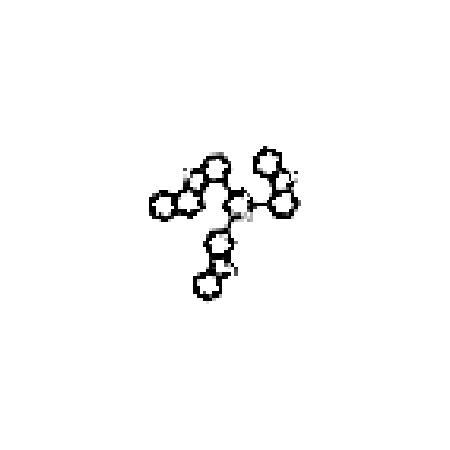 c1ccc2c(c1)ccc1c2oc2cccc(-c3cc(-c4ccc5c(c4)oc4ccccc45)nc(-c4cccc5oc6ccccc6c45)n3)c21